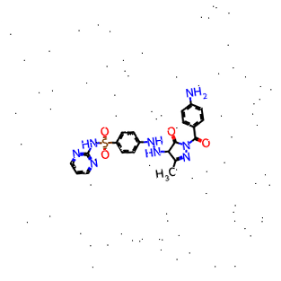 CC1=NN(C(=O)c2ccc(N)cc2)C(=O)C1NNc1ccc(S(=O)(=O)Nc2ncccn2)cc1